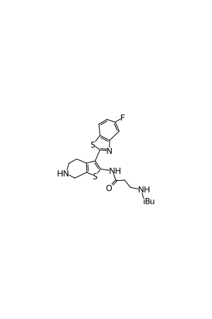 CCC(C)NCCC(=O)Nc1sc2c(c1-c1nc3cc(F)ccc3s1)CCNC2